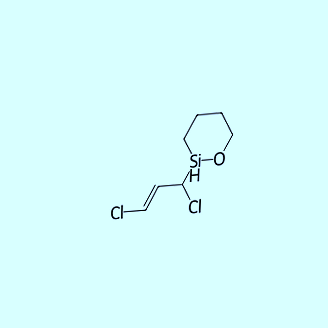 ClC=CC(Cl)[SiH]1CCCCO1